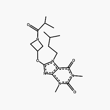 CC(C)CCn1c(OC2CN(C(=O)C(C)C)C2)nc2c1c(=O)n(C)c(=O)n2C